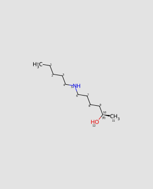 CCCCCNCCCC[C@@H](C)O